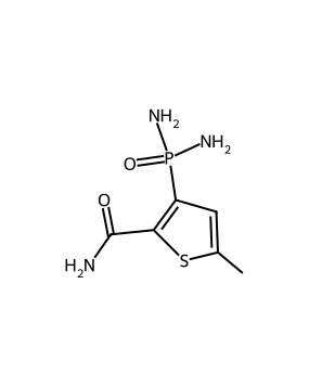 Cc1cc(P(N)(N)=O)c(C(N)=O)s1